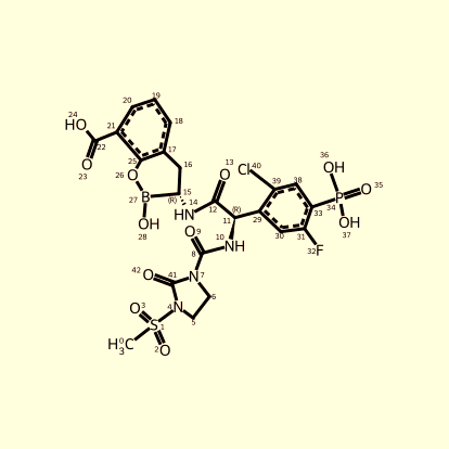 CS(=O)(=O)N1CCN(C(=O)N[C@@H](C(=O)N[C@H]2Cc3cccc(C(=O)O)c3OB2O)c2cc(F)c(P(=O)(O)O)cc2Cl)C1=O